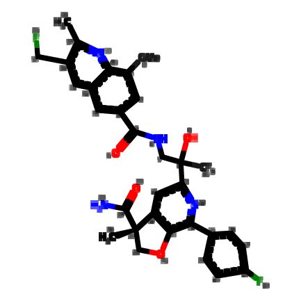 COc1cc(C(=O)NCC(O)(c2cc3c(c(-c4ccc(F)cc4)n2)OC[C@]3(C)C(N)=O)C(F)(F)F)cc2cc(CF)c(C)nc12